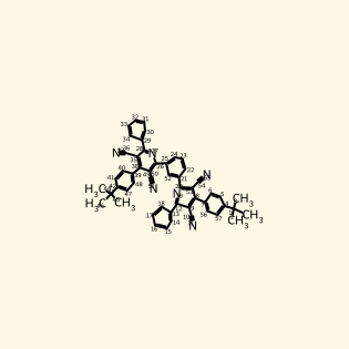 CC(C)(C)c1ccc(-c2c(C#N)c(-c3ccccc3)nc(-c3cccc(-c4nc(-c5ccccc5)c(C#N)c(-c5ccc(C(C)(C)C)cc5)c4C#N)c3)c2C#N)cc1